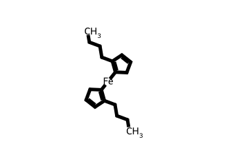 CCCCC1=[C]([Fe][C]2=C(CCCC)C=CC2)CC=C1